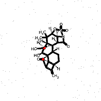 C=C1C2C(=O)[C@]34[C@H]2[C@H]1CC[C@H]3[C@@]12CO[C@]4(O)[C@@H](O)[C@@H]1C(C)(C)[C@H]1OS(=O)(=O)N3C(=O)[C@@H]2[C@@H]13